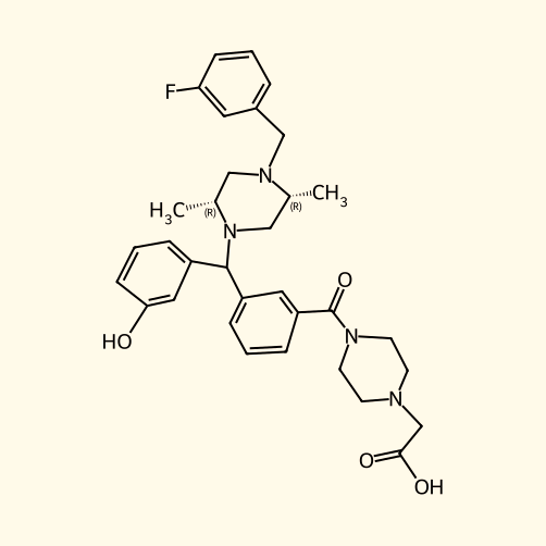 C[C@@H]1CN(C(c2cccc(O)c2)c2cccc(C(=O)N3CCN(CC(=O)O)CC3)c2)[C@H](C)CN1Cc1cccc(F)c1